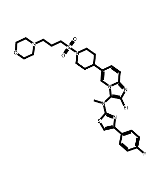 CCc1nc2ccc(C3CCN(S(=O)(=O)CCCN4CCOCC4)CC3)cn2c1N(C)c1nc(-c2ccc(F)cc2)cs1